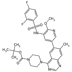 COc1ncc(-c2cc3c(N4CCN(C(=O)OC(C)(C)C)CC4)ncnc3cc2C)cc1NS(=O)(=O)c1ccc(F)cc1F